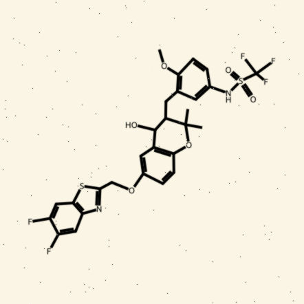 COc1ccc(NS(=O)(=O)C(F)(F)F)cc1CC1C(O)c2cc(OCc3nc4cc(F)c(F)cc4s3)ccc2OC1(C)C